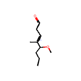 CCCC(OC)/C(C)=C/CC=O